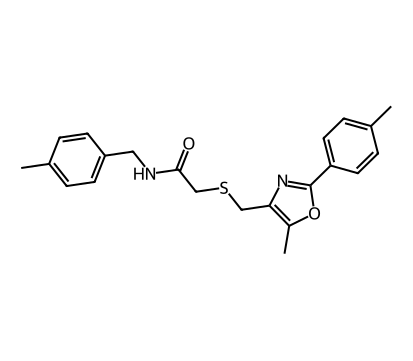 Cc1ccc(CNC(=O)CSCc2nc(-c3ccc(C)cc3)oc2C)cc1